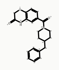 O=C1COc2ccc(C(=O)N3CCC(Cc4ccccc4)CC3)cc2N1